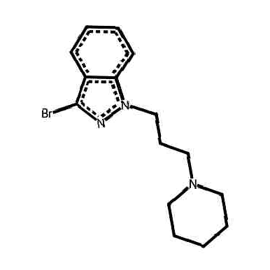 Brc1nn(CCCN2CCCCC2)c2ccccc12